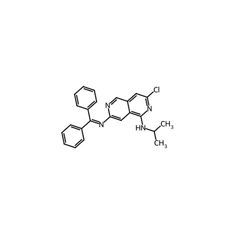 CC(C)Nc1nc(Cl)cc2cnc(N=C(c3ccccc3)c3ccccc3)cc12